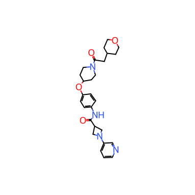 O=C(Nc1ccc(OC2CCN(C(=O)CC3CCOCC3)CC2)cc1)C1CN(c2cccnc2)C1